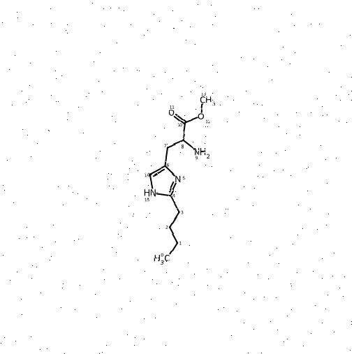 CCCCc1nc(CC(N)C(=O)OC)c[nH]1